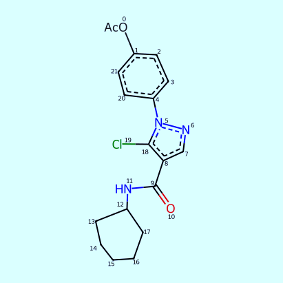 CC(=O)Oc1ccc(-n2ncc(C(=O)NC3CCCCC3)c2Cl)cc1